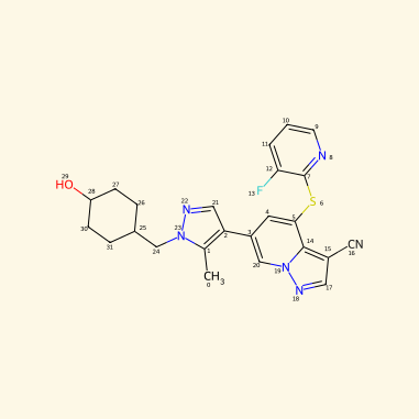 Cc1c(-c2cc(Sc3ncccc3F)c3c(C#N)cnn3c2)cnn1CC1CCC(O)CC1